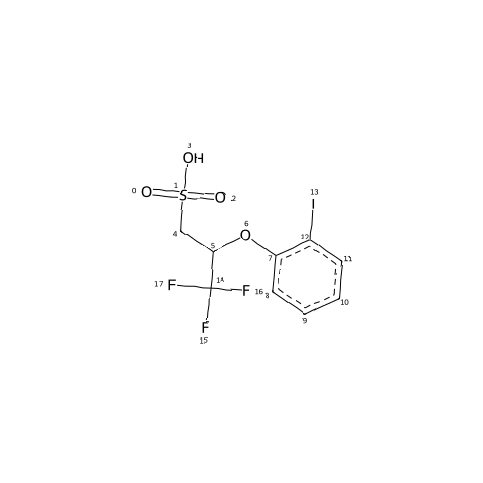 O=S(=O)(O)CC(Oc1ccccc1I)C(F)(F)F